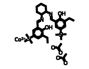 CC(=O)[O-].CC(=O)[O-].CCc1cc([Si](C)(C)C)cc(C=NC2CCCCC2N=Cc2cc([Si](C)(C)C)cc(CC)c2O)c1O.[Co+2]